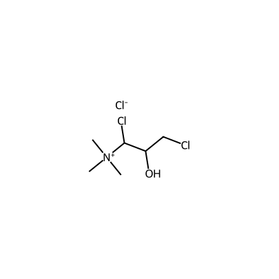 C[N+](C)(C)C(Cl)C(O)CCl.[Cl-]